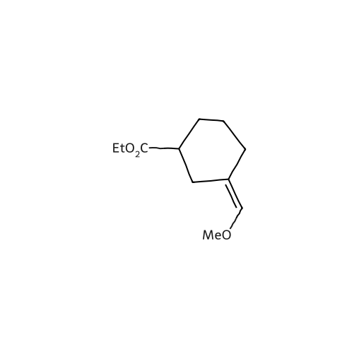 CCOC(=O)C1CCC/C(=C/OC)C1